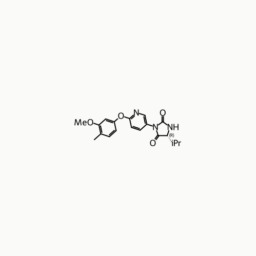 COc1cc(Oc2ccc(N3C(=O)N[C@H](C(C)C)C3=O)cn2)ccc1C